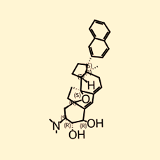 CN(C)[C@H]1C[C@@]23CC[C@@]4(O2)C(=CC[C@]2(C)[C@@H](c5ccc6ccccc6c5)CC[C@H]24)C=C3[C@@H](O)[C@@H]1O